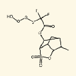 CC1C2CC3C1OS(=O)(=O)C3C2OC(=O)C(F)(F)SOOO